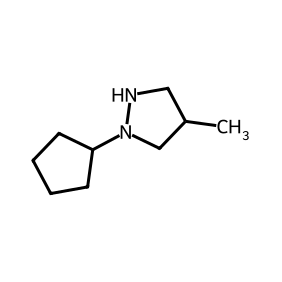 CC1CNN(C2CCCC2)C1